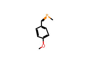 COc1ccc(/C=P\C)cc1